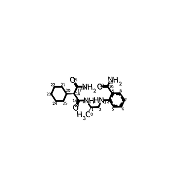 C[C@@H](CNc1ccccc1C(N)=O)NC(=O)[C@H](C(N)=O)C1CCCCC1